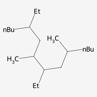 CCCCC(C)CC(CC)C(C)CC(CC)CCCC